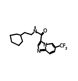 CN(CCC1CCCCC1)C(=O)c1cnc2ccc(C(F)(F)F)cn12